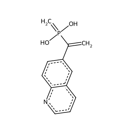 C=C(c1ccc2ncccc2c1)P(=C)(O)O